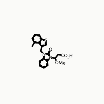 COC(CC(=O)O)n1c(=O)n(Cc2csc3cccc(C)c23)c2ccccc21